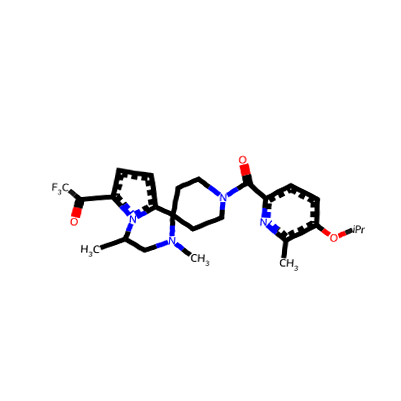 Cc1nc(C(=O)N2CCC3(CC2)c2ccc(C(=O)C(F)(F)F)n2C(C)CN3C)ccc1OC(C)C